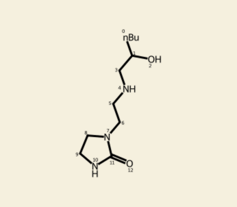 CCCCC(O)CNCCN1CCNC1=O